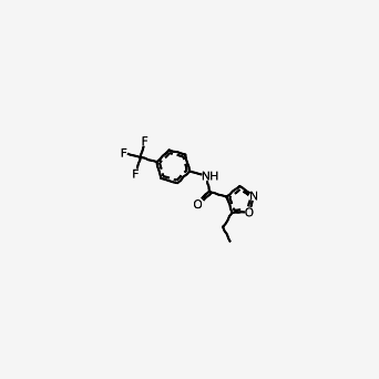 CCc1oncc1C(=O)Nc1ccc(C(F)(F)F)cc1